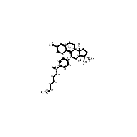 CC(=O)O[C@]1(C(C)=O)CC[C@H]2[C@@H]3CCC4=CC(O)CCC4=C3[C@@H](c3ccc(N(C)CCCCCC=O)cc3)C[C@@]21C